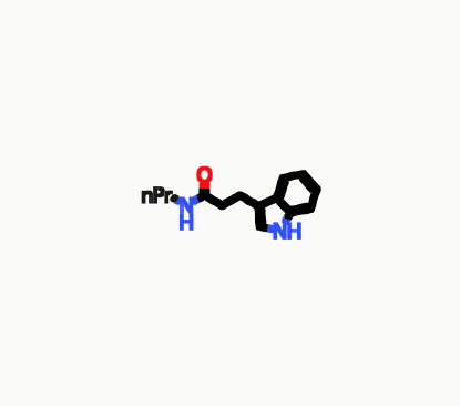 CCCNC(=O)CCc1c[nH]c2ccccc12